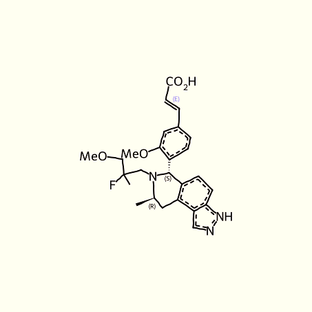 COCC(C)(F)CN1[C@H](c2ccc(/C=C/C(=O)O)cc2OC)c2ccc3[nH]ncc3c2C[C@H]1C